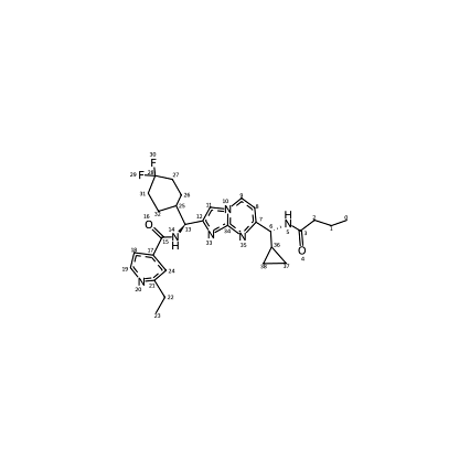 CCCC(=O)N[C@@H](c1ccn2cc([C@@H](NC(=O)c3ccnc(CC)c3)C3CCC(F)(F)CC3)nc2n1)C1CC1